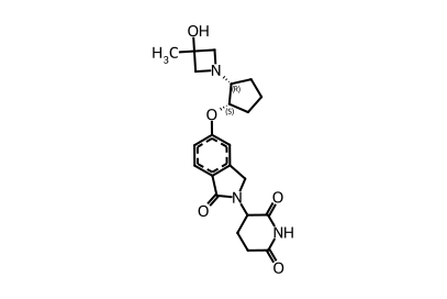 CC1(O)CN([C@@H]2CCC[C@@H]2Oc2ccc3c(c2)CN(C2CCC(=O)NC2=O)C3=O)C1